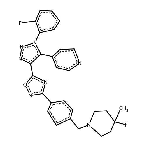 CC1(F)CCN(Cc2ccc(-c3noc(-c4nnn(-c5ccccc5F)c4-c4ccncc4)n3)cc2)CC1